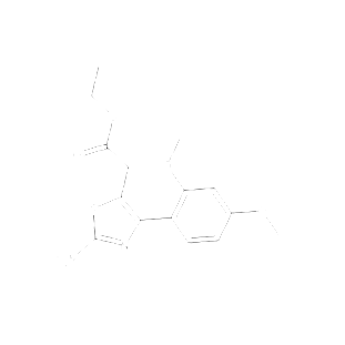 CCOC(=O)Cc1sc(N)nc1-c1ccc(OC)cc1OC